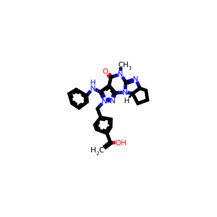 C=C(O)c1ccc(Cn2nc3c(c2Nc2ccccc2)C(=O)N(C)C2=NC4CCC[C@@H]4N23)cc1